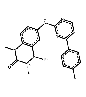 Cc1ccc(-c2ccnc(Nc3ccc4c(c3)N(C(C)C)[C@H](C)C(=O)N4C)n2)cc1